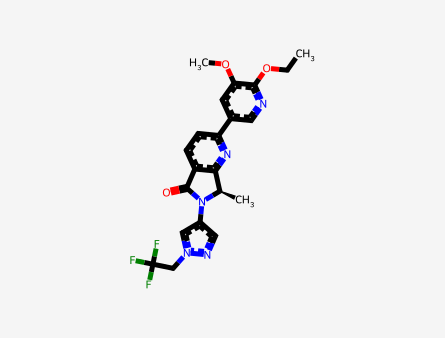 CCOc1ncc(-c2ccc3c(n2)[C@@H](C)N(c2cnn(CC(F)(F)F)c2)C3=O)cc1OC